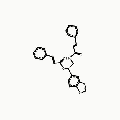 O=C(/C=C/c1ccccc1)NC[C@H](OC(=O)/C=C/c1ccccc1)c1ccc2c(c1)OCO2